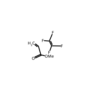 C=CC(=O)OC.FC(F)=C(F)F